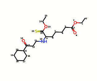 CCOC(=O)CCCCC(NCCC(=O)C1CCCCC1)C(=S)OCC